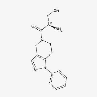 N[C@H](CO)C(=O)N1CCc2c(cnn2-c2ccccc2)C1